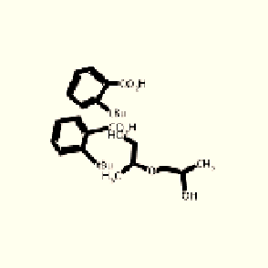 CC(C)(C)c1ccccc1C(=O)O.CC(C)(C)c1ccccc1C(=O)O.CC(O)COC(C)CO